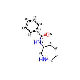 O=C(NC1CCCCNC1)c1ccccc1